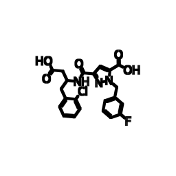 O=C(O)CC(Cc1ccccc1Cl)NC(=O)c1cc(C(=O)O)n(Cc2cccc(F)c2)n1